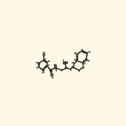 O=C(NCC(O)CN1CCc2ncccc2C1)c1cc(Cl)ncn1